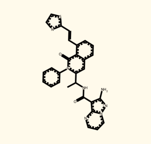 CC(NC(=O)c1c(N)nn2cccnc12)c1cc2cccc(/C=C/c3nccs3)c2c(=O)n1-c1ccccc1